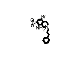 Nc1c([N+](=O)[O-])cc(Br)c2c1CN(CCCc1ccccc1)CC2